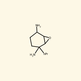 CCCC1(N)CCC(N)C2OC21